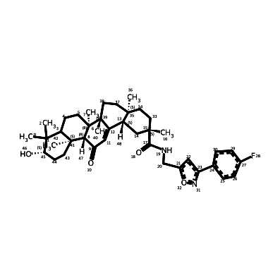 CC1(C)C2CC[C@]3(C)[C@H](C(=O)C=C4[C@H]5C[C@@](C)(C(=O)NCc6cc(-c7ccc(F)cc7)no6)CC[C@]5(C)CC[C@]43C)[C@@]2(C)CC[C@@H]1O